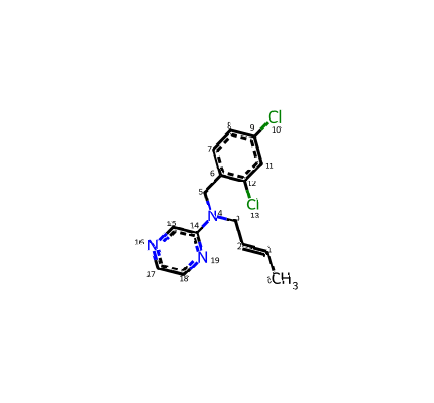 C/C=C/CN(Cc1ccc(Cl)cc1Cl)c1cnccn1